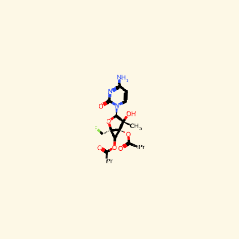 CC(C)C(=O)OC1[C@]2(OC(=O)C(C)C)[C@@](C)(O)[C@H](n3ccc(N)nc3=O)O[C@]12CF